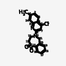 Cc1ccc2c(Cl)cc(N3CCS(=O)(=O)c4ccccc4C3)nc2c1